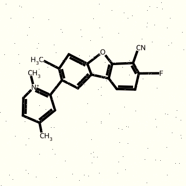 Cc1cc[n+](C)c(-c2cc3c(cc2C)oc2c(C#N)c(F)ccc23)c1